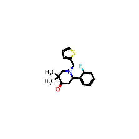 CC1(C)CN(Cc2cccs2)C(c2ccccc2F)CC1=O